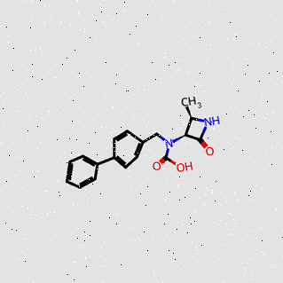 C[C@H]1NC(=O)[C@H]1N(Cc1ccc(-c2ccccc2)cc1)C(=O)O